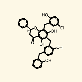 O=C1C[C@@H](c2ccccc2)Oc2c(Cc3cc(Cl)ccc3O)c(O)c(Cc3cc(Cc4ccccc4O)ccc3O)c(O)c21